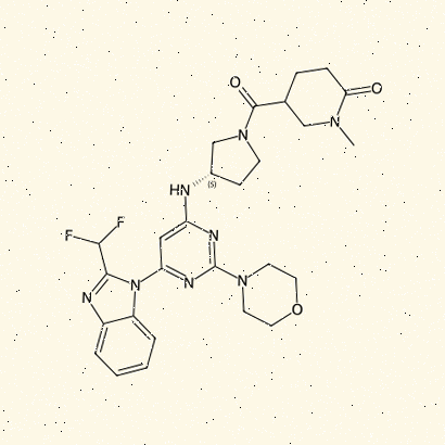 CN1CC(C(=O)N2CC[C@H](Nc3cc(-n4c(C(F)F)nc5ccccc54)nc(N4CCOCC4)n3)C2)CCC1=O